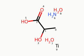 CC(O)C(=O)O.N.O.O.[Ti]